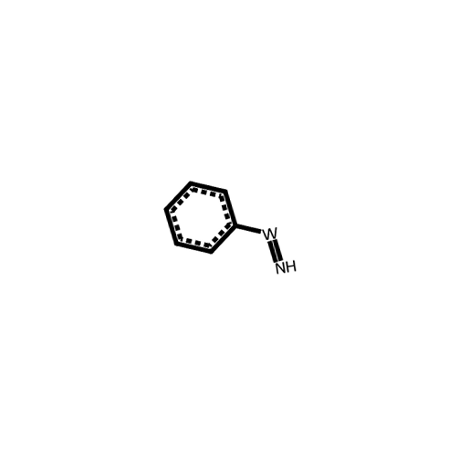 [NH]=[W][c]1ccccc1